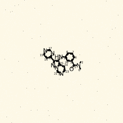 CN(C)C(=O)c1cccc(Nc2c(-c3ccncn3)nn3cnccc23)c1